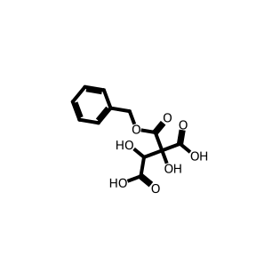 O=C(O)C(O)C(O)(C(=O)O)C(=O)OCc1ccccc1